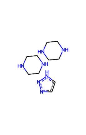 C1CNCCN1.C1CNCCN1.c1c[nH]nn1